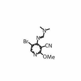 COc1ncc(Br)c(/N=C/N(C)C)c1C#N